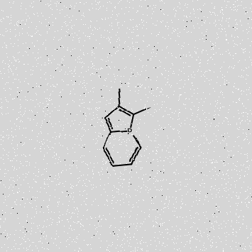 Cc1[c]c2ccccp2c1C